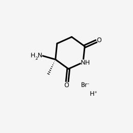 C[C@]1(N)CCC(=O)NC1=O.[Br-].[H+]